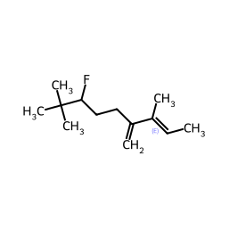 C=C(CCC(F)C(C)(C)C)/C(C)=C/C